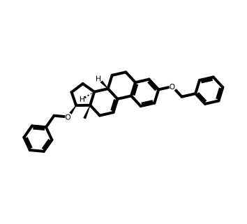 C[C@]12CC=C3c4ccc(OCc5ccccc5)cc4CC[C@H]3[C@@H]1CC[C@@H]2OCc1ccccc1